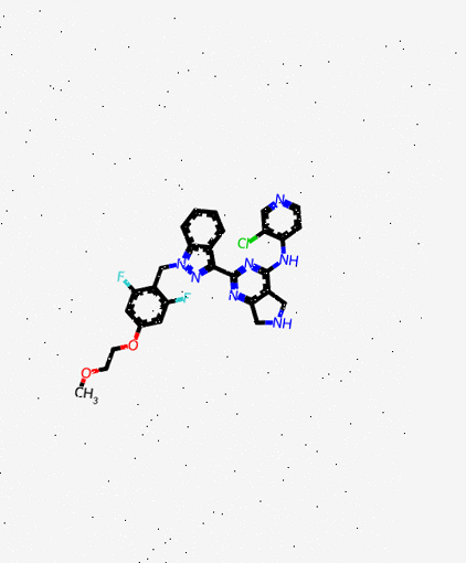 COCCOc1cc(F)c(Cn2nc(-c3nc4c(c(Nc5ccncc5Cl)n3)CNC4)c3ccccc32)c(F)c1